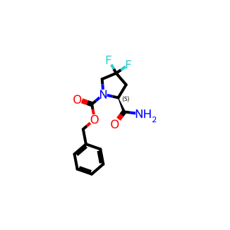 NC(=O)[C@@H]1CC(F)(F)CN1C(=O)OCc1ccccc1